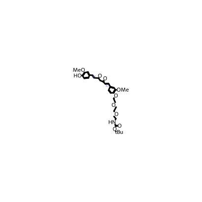 COc1cc(/C=C/C(=O)CC(=O)/C=C/c2ccc(OCCOCCOCCNC(=O)OC(C)(C)C)c(OC)c2)ccc1O